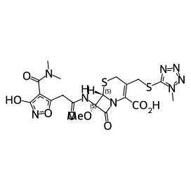 CO[C@@]1(NC(=O)Cc2onc(O)c2C(=O)N(C)C)C(=O)N2C(C(=O)O)=C(CSc3nnnn3C)CS[C@H]21